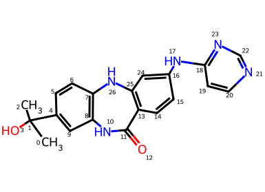 CC(C)(O)c1ccc2c(c1)NC(=O)c1ccc(Nc3ccncn3)cc1N2